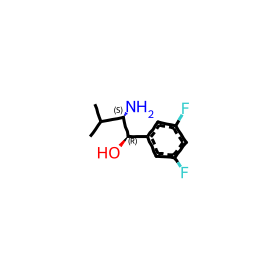 CC(C)[C@H](N)[C@H](O)c1cc(F)cc(F)c1